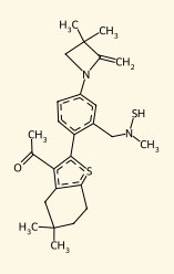 C=C1N(c2ccc(-c3sc4c(c3C(C)=O)CC(C)(C)CC4)c(CN(C)S)c2)CC1(C)C